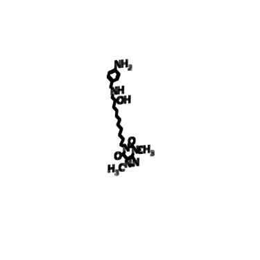 Cn1cnc2c1c(=O)n(CCCCCCCCCC(O)CNCc1ccc(N)cc1)c(=O)n2C